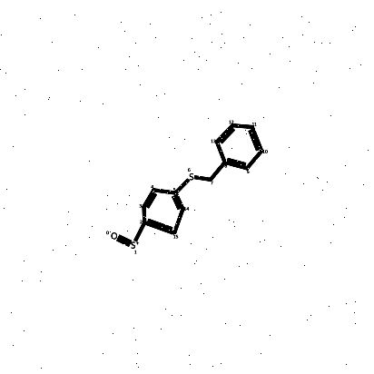 O=[S+]c1ccc(SCc2ccccc2)cc1